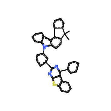 CC1(C)c2ccccc2-c2c1ccc1c2c2ccccc2n1-c1cccc(-c2nc(-c3ccccc3)c3c(n2)sc2ccccc23)c1